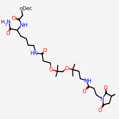 CCCCCCCCCCCC(=O)NC(CCCCNC(=O)CCOC(C)(C)COC(C)(C)CCNC(=O)CCN1C(=O)CC(C)C1=O)C(N)=O